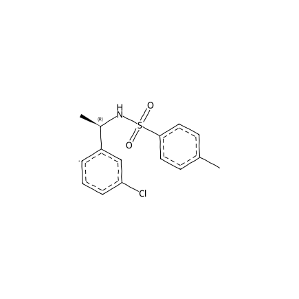 Cc1ccc(S(=O)(=O)N[C@H](C)c2[c]ccc(Cl)c2)cc1